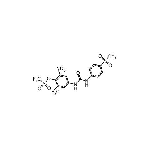 O=C(Nc1ccc(S(=O)(=O)C(F)(F)F)cc1)Nc1cc([N+](=O)[O-])c(OS(=O)(=O)C(F)(F)F)c(C(F)(F)F)c1